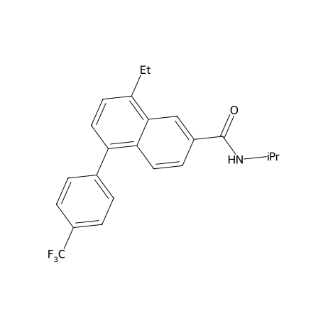 CCc1ccc(-c2ccc(C(F)(F)F)cc2)c2ccc(C(=O)NC(C)C)cc12